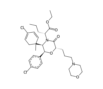 CCC[C@H](C(=O)OCC)N1C(=O)[C@H](CCCN2CCOCC2)O[C@@H](c2ccc(Cl)cc2)[C@H]1C1(C)C=CC(Cl)=CC1